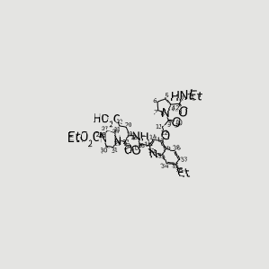 CCNC(=O)C1CCCN1C(=O)COc1cc(C(=O)NC(CCC(=O)O)C(=O)N2CCN(C(=O)OCC)CC2)nc2cc(CC)ccc12